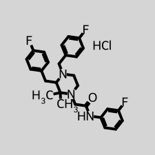 CC1(C)C(Cc2ccc(F)cc2)N(Cc2ccc(F)cc2)CCN1CC(=O)Nc1cccc(F)c1.Cl